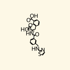 O=C(N[C@H]1Cc2cccc(C(=O)O)c2OB1O)c1cccc(CNc2nccs2)c1